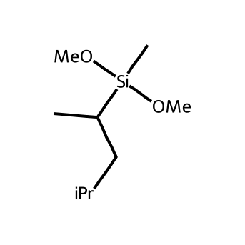 CO[Si](C)(OC)C(C)CC(C)C